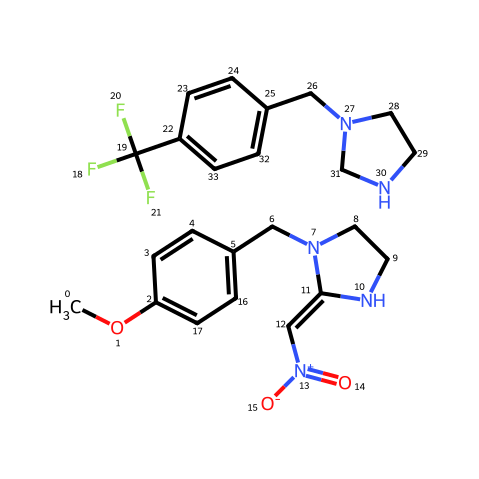 COc1ccc(CN2CCNC2=C[N+](=O)[O-])cc1.FC(F)(F)c1ccc(CN2CCNC2)cc1